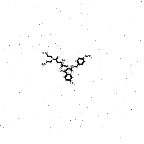 NCCN(CCN)C(=O)C[C@H](N)C(=O)N[C@H](C(=O)NCc1ccc(OC(F)(F)F)cc1)[C@H](O)c1ccc(C(F)(F)F)cc1